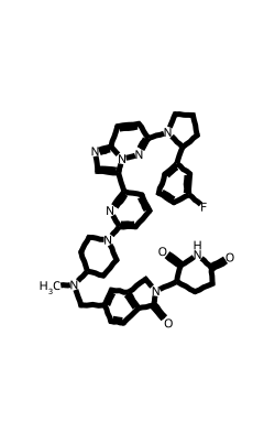 CN(Cc1ccc2c(c1)CN(C1CCC(=O)NC1=O)C2=O)C1CCN(c2cccc(-c3cnc4ccc(N5CCCC5c5cccc(F)c5)nn34)n2)CC1